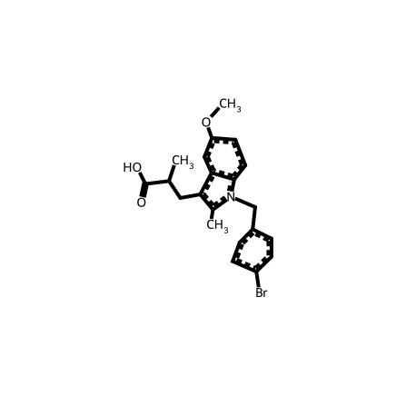 COc1ccc2c(c1)c(CC(C)C(=O)O)c(C)n2Cc1ccc(Br)cc1